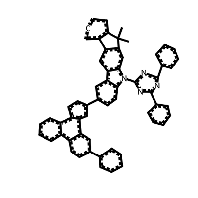 CC1(C)c2ccccc2-c2cc3c4cc(-c5ccc6c7ccccc7c7ccc(-c8ccccc8)cc7c6c5)ccc4n(-c4nc(-c5ccccc5)nc(-c5ccccc5)n4)c3cc21